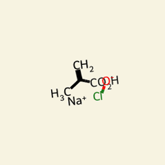 C=C(C)C(=O)O.[Na+].[O-]Cl